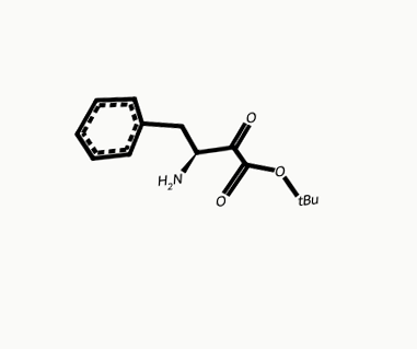 CC(C)(C)OC(=O)C(=O)[C@@H](N)Cc1ccccc1